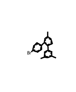 Cc1cc(C)cc(-c2ccc(C)cc2-c2ccc(Br)cc2)c1